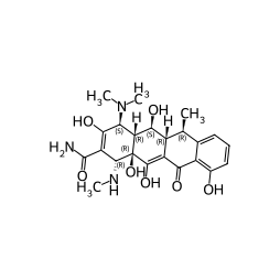 CN[C@@H]1C(C(N)=O)=C(O)[C@@H](N(C)C)[C@@H]2[C@@H](O)[C@H]3C(=C(O)[C@@]21O)C(=O)c1c(O)cccc1[C@@H]3C